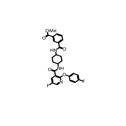 COC(=O)c1cccc(C(=O)NC2CCC(NC(=O)c3cc(F)cnc3Oc3ccc(F)cc3)CC2)c1